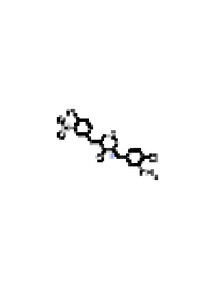 Cc1cc(/C=C2\CSC/C(=C\c3ccc(Cl)c([N+](=O)[O-])c3)C2=O)ccc1Cl